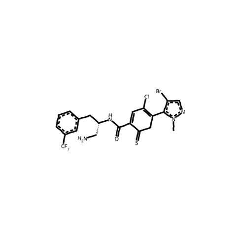 Cn1ncc(Br)c1C1=C(Cl)C=C(C(=O)N[C@H](CN)Cc2cccc(C(F)(F)F)c2)C(=S)C1